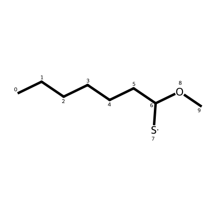 CCCCCCC([S])OC